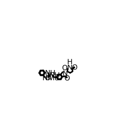 CNc1ccccc1NC(=O)NCc1ccc2c(c1)CN(C1CCC(=O)NC1=O)C2=O